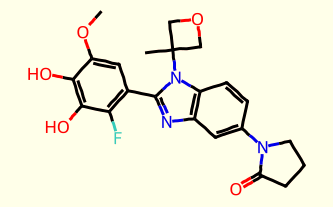 COc1cc(-c2nc3cc(N4CCCC4=O)ccc3n2C2(C)COC2)c(F)c(O)c1O